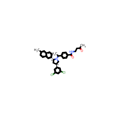 CC(=O)CCNC(=O)c1ccc(C(C)N2C[C@@H](c3cc(Cl)cc(Cl)c3)C[C@@H]2c2ccc3cc(C)ccc3c2)cc1